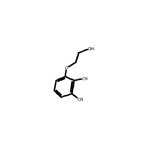 N#Cc1cccc(OCCO)c1C#N